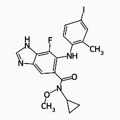 CON(C(=O)c1cc2nc[nH]c2c(F)c1Nc1ccc(I)cc1C)C1CC1